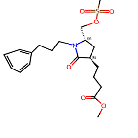 COC(=O)CCC[C@@H]1C[C@@H](COS(C)(=O)=O)N(CCCc2ccccc2)C1=O